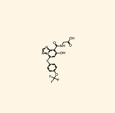 O=C(O)CNC(=O)c1c(O)cc(Sc2ccc(OC(F)(F)F)cc2)n2ncnc12